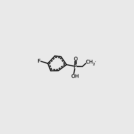 [CH2]CP(=O)(O)c1ccc(F)cc1